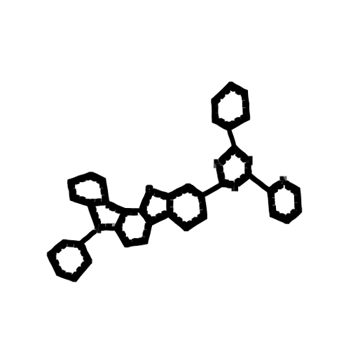 c1ccc(-c2nc(-c3ccc4c(c3)oc3c4ccc4c3c3ccccc3n4-c3ccccc3)nc(-c3ccccn3)n2)cc1